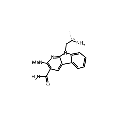 CNc1nc2c(cc1C(N)=O)c1ccccc1n2C[C@H](C)N